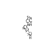 CC1(C)NCCC1c1cc2c(Nc3ccc4scnc4c3F)ccnc2s1